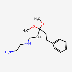 COC(CCc1ccccc1)(OC)[SiH2]CNCCN